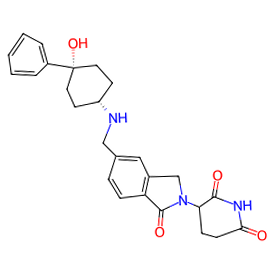 O=C1CCC(N2Cc3cc(CN[C@H]4CC[C@](O)(c5ccccc5)CC4)ccc3C2=O)C(=O)N1